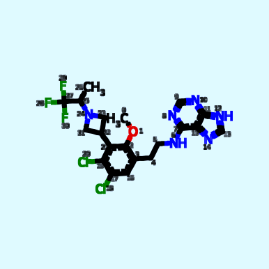 COc1c(CCNc2ncnc3[nH]cnc23)cc(Cl)c(Cl)c1C1CN(C(C)C(F)(F)F)C1